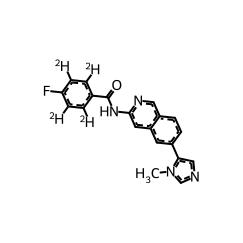 [2H]c1c([2H])c(C(=O)Nc2cc3cc(-c4cncn4C)ccc3cn2)c([2H])c([2H])c1F